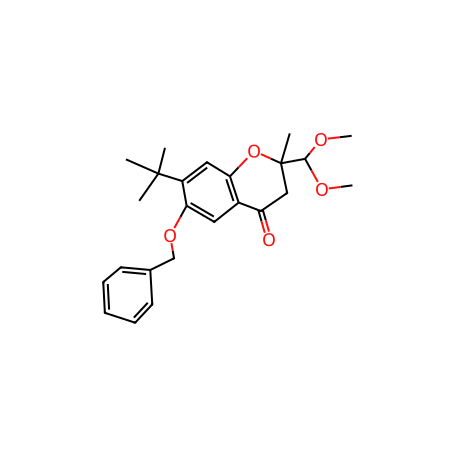 COC(OC)C1(C)CC(=O)c2cc(OCc3ccccc3)c(C(C)(C)C)cc2O1